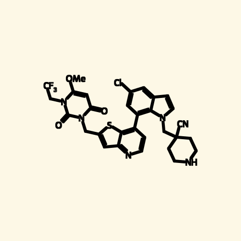 COc1cc(=O)n(Cc2cc3nccc(-c4cc(Cl)cc5ccn(CC6(C#N)CCNCC6)c45)c3s2)c(=O)n1CC(F)(F)F